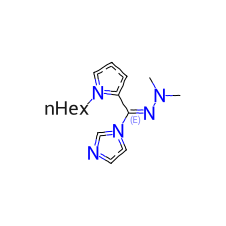 CCCCCCn1cccc1/C(=N\N(C)C)n1ccnc1